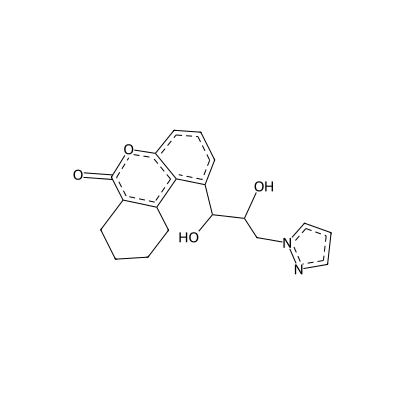 O=c1oc2cccc(C(O)C(O)Cn3cccn3)c2c2c1CCCC2